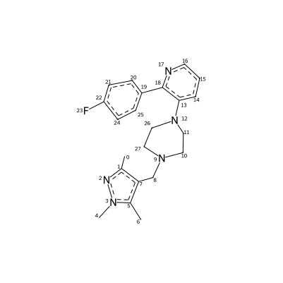 Cc1nn(C)c(C)c1CN1CCN(c2cccnc2-c2ccc(F)cc2)CC1